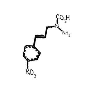 NN(CC=Cc1ccc([N+](=O)[O-])cc1)C(=O)O